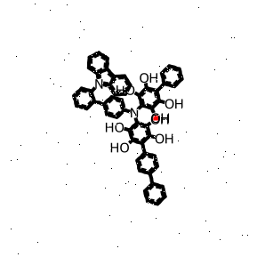 Oc1c(O)c(N(c2ccc(-c3ccccc3-n3c4ccccc4c4ccccc43)cc2)c2c(O)c(O)c(-c3ccc(-c4ccccc4)cc3)c(O)c2O)c(O)c(O)c1-c1ccccc1